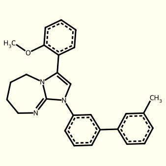 COc1ccccc1C1=CN(c2cccc(-c3cccc(C)c3)c2)C2=NCCCCN12